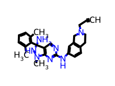 C#CCN1CCc2ccc(Nc3ncc4c(n3)N(C)NC4(N)c3c(C)cccc3C)cc2C1